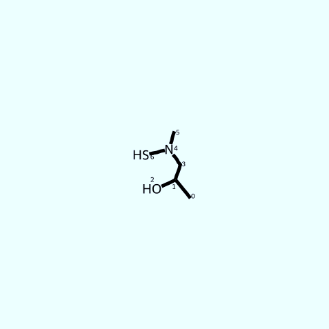 CC(O)CN(C)S